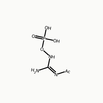 CC(=O)N=C(N)NOP(=O)(O)O